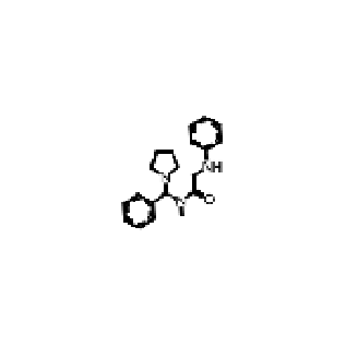 CN(C(=O)CNc1ccccc1)[C@@H](c1ccccc1)N1CCCC1